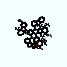 CC(C)(C)c1ccc2c(c1)C1(C)CCCCC1(C)N2c1cc2c3c(c1)N(c1cccc4c1sc1ccccc14)c1cc4c(cc1B3c1cc3c(cc1N2c1cccc2c1-c1ccccc1C2)C(C)(C)CCC3(C)C)C(C)(C)CCC4(C)C